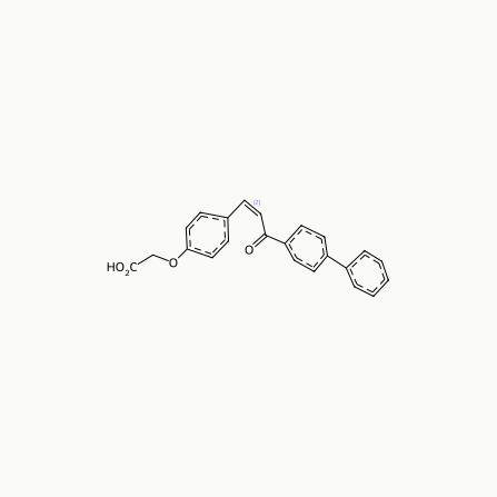 O=C(O)COc1ccc(/C=C\C(=O)c2ccc(-c3ccccc3)cc2)cc1